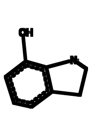 Oc1cccc2c1[N]CC2